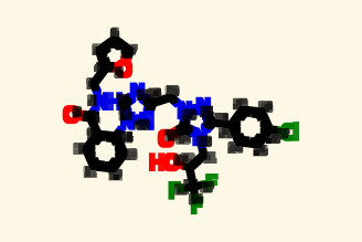 O=C(NCc1ccco1)c1ccccc1-n1cnc(Cn2nc(-c3ccc(Cl)cc3)n(C[C@H](O)C(F)(F)F)c2=O)n1